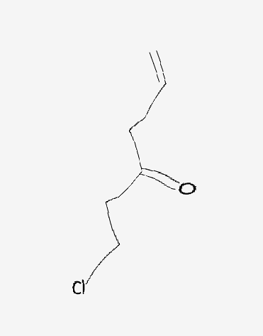 C=CCC(=O)CCCl